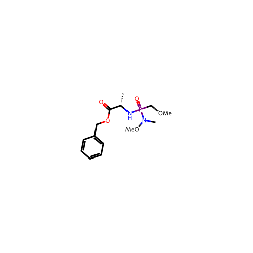 COCP(=O)(N[C@@H](C)C(=O)OCc1ccccc1)N(C)OC